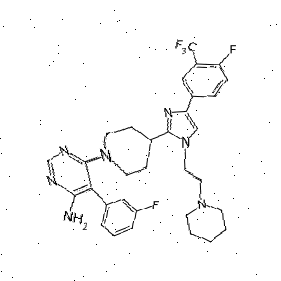 Nc1ncnc(N2CCC(c3nc(-c4ccc(F)c(C(F)(F)F)c4)cn3CCN3CCCCC3)CC2)c1-c1cccc(F)c1